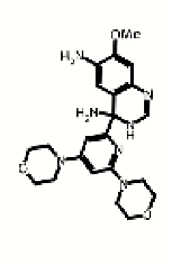 COc1cc2c(cc1N)C(N)(c1cc(N3CCOCC3)cc(N3CCOCC3)n1)NC=N2